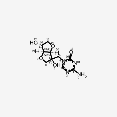 Nc1ncn(C[C@]2(O)CO[C@H]3[C@H](O)CO[C@H]32)c(=O)n1